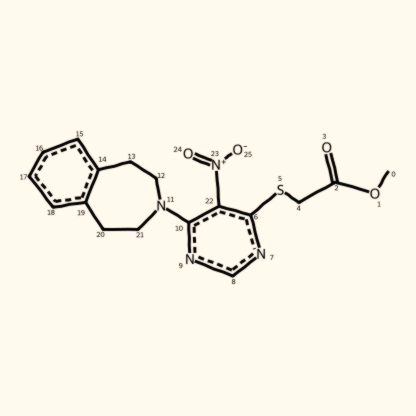 COC(=O)CSc1ncnc(N2CCc3ccccc3CC2)c1[N+](=O)[O-]